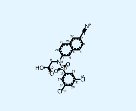 N#Cc1ccc2cc(N(CC(=O)O)S(=O)(=O)c3cc(Cl)cc(Cl)c3)ccc2c1